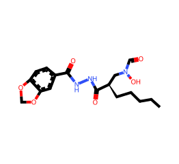 CCCCC[C@H](CN(O)C=O)C(=O)NNC(=O)c1ccc2c(c1)OCO2